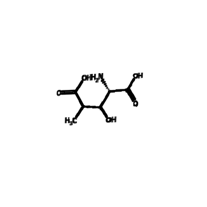 CC(C(=O)O)C(O)[C@H](N)C(=O)O